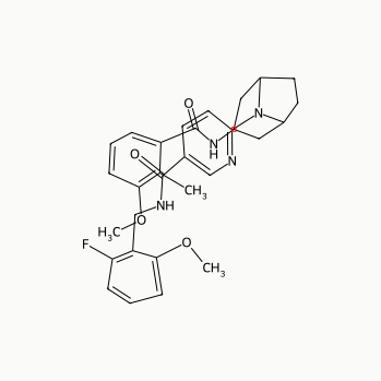 COc1cccc(C(=O)NC2CC3CCC(C2)N3c2ccc(C(=O)NCc3c(F)cccc3OC)cn2)c1C